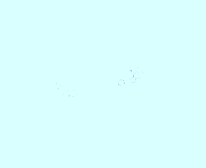 CCCCCNc1nc(N)nc2ccn(Cc3ccc(COCCOCCOCCOCCNC(=O)[C@H](CS(=O)(=O)O)NC(=O)CN4C(=O)C=CC4=O)cc3OC)c12